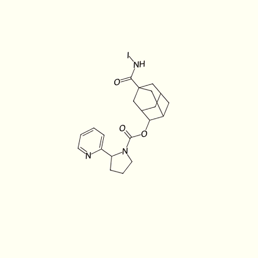 O=C(OC1C2CC3CC1CC(C(=O)NI)(C3)C2)N1CCCC1c1ccccn1